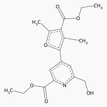 CCOC(=O)c1cc(-c2oc(C)c(C(=O)OCC)c2C)cc(CO)n1